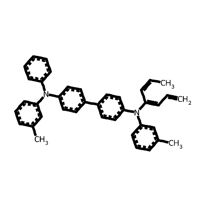 C=C/C=C(\C=C/C)N(c1ccc(-c2ccc(N(c3ccccc3)c3cccc(C)c3)cc2)cc1)c1cccc(C)c1